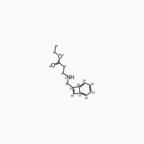 CCOC(=O)CCNCC1=Cc2ccccc21